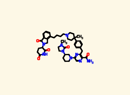 CN1CCN([C@@H]2CCCN(c3cnc(C(N)=O)c(Cc4ccc(C5(C)CCN(CCCCc6cccc7c6CN(C6CCC(=O)NC6=O)C7=O)CC5)cc4)n3)C2)C1=O